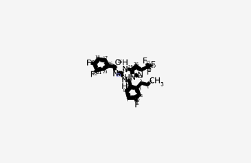 CCCc1cc(F)ccc1CN/C(=N/C(=O)c1ccc(F)c(F)c1)Nc1cc(C(F)(F)F)n[nH]1